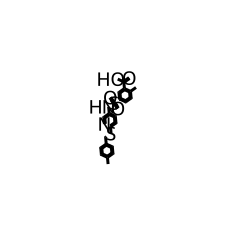 Cc1ccc(CSc2ccc(NS(=O)(=O)c3ccc(C)c(C(=O)O)c3)cn2)cc1